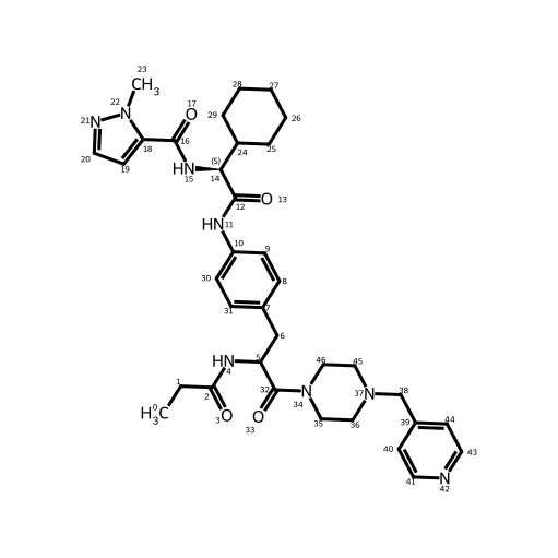 CCC(=O)NC(Cc1ccc(NC(=O)[C@@H](NC(=O)c2ccnn2C)C2CCCCC2)cc1)C(=O)N1CCN(Cc2ccncc2)CC1